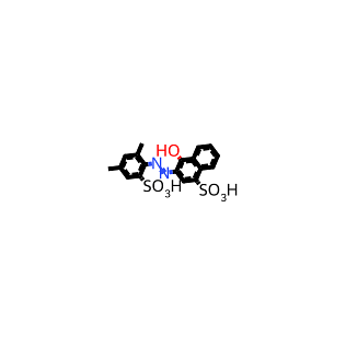 Cc1cc(C)c(N=Nc2cc(S(=O)(=O)O)c3ccccc3c2O)c(S(=O)(=O)O)c1